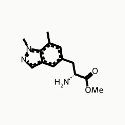 COC(=O)[C@H](N)Cc1cc(C)c2c(cnn2C)c1